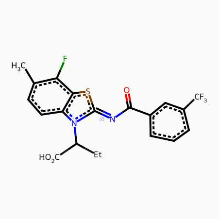 CCC(C(=O)O)n1/c(=N/C(=O)c2cccc(C(F)(F)F)c2)sc2c(F)c(C)ccc21